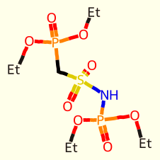 CCOP(=O)(CS(=O)(=O)NP(=O)(OCC)OCC)OCC